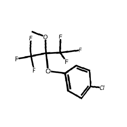 COC(Oc1ccc(Cl)cc1)(C(F)(F)F)C(F)(F)F